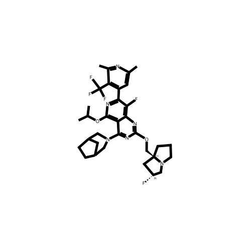 Cc1cc(-c2nc(OC(C)C)c3c(N4CC5CCC(C5)C4)nc(OC[C@@]45CCCN4C[C@H](F)C5)nc3c2F)c(C(F)(F)F)c(C)n1